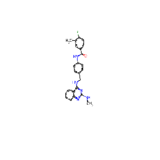 CNc1nc(NCc2ccc(NC(=O)c3ccc(F)c(C)c3)cc2)c2ccccc2n1